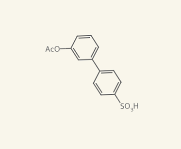 CC(=O)Oc1cccc(-c2ccc(S(=O)(=O)O)cc2)c1